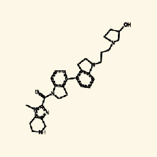 Cn1c(C(=O)N2CCc3c(-c4cccc5c4CCN5CCCN4CCC(O)C4)cccc32)nc2c1CCNC2